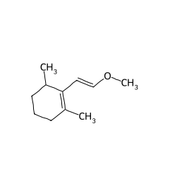 COC=CC1=C(C)CCCC1C